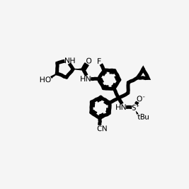 CC(C)(C)[S@@+]([O-])NC(CCC1CC1)(c1cccc(C#N)c1)c1ccc(F)c(NC(=O)[C@H]2C[C@@H](O)CN2)c1